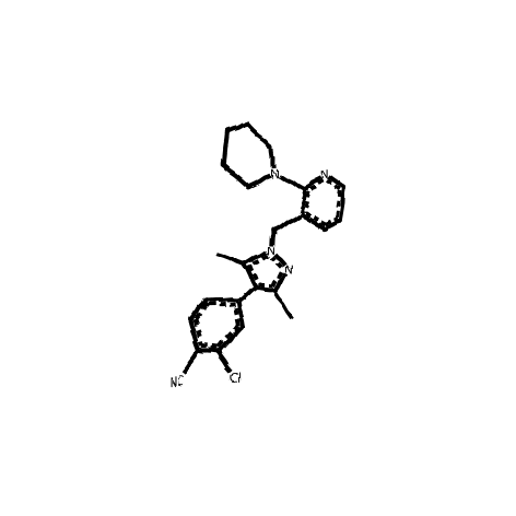 Cc1nn(Cc2cccnc2N2CCCCC2)c(C)c1-c1ccc(C#N)c(Cl)c1